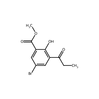 CCC(=O)c1cc(Br)cc(C(=O)OC)c1O